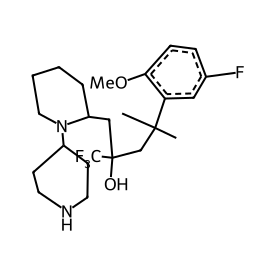 COc1ccc(F)cc1C(C)(C)CC(O)(CC1CCCCN1C1CCNCC1)C(F)(F)F